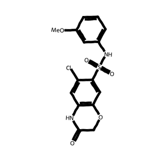 COc1cccc(NS(=O)(=O)c2cc3c(cc2Cl)NC(=O)CO3)c1